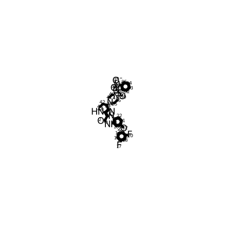 NC(=O)c1c2c(nn1-c1ccc(Oc3ccc(F)cc3F)cc1)[C@H](N1CCN(S(=O)(=O)c3ccccc3[N+](=O)[O-])CC1)CCN2